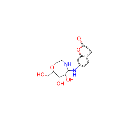 O=c1ccc2ccc(NC3NCCOC(CO)[C@@H](O)C3O)cc2o1